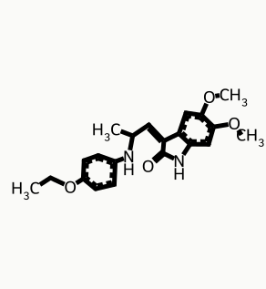 CCOc1ccc(NC(C)C=C2C(=O)Nc3cc(OC)c(OC)cc32)cc1